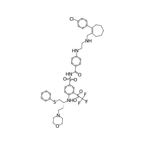 O=C(NS(=O)(=O)c1ccc(N[C@H](CCN2CCOCC2)CSc2ccccc2)c(S(=O)(=O)C(F)(F)F)c1)c1ccc(NCCNCC2=C(c3ccc(Cl)cc3)CCCCC2)cc1